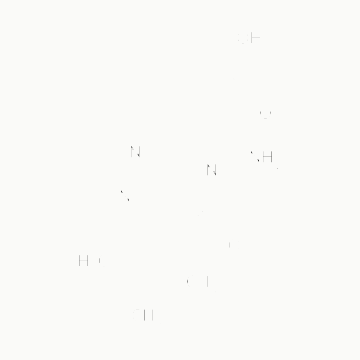 CC(C)(C)c1nnc(CC(=O)O)n(N)c1=O